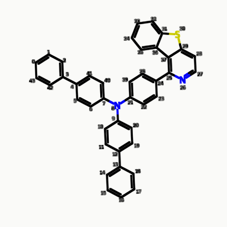 c1ccc(-c2ccc(N(c3ccc(-c4ccccc4)cc3)c3ccc(-c4nccc5sc6ccccc6c45)cc3)cc2)cc1